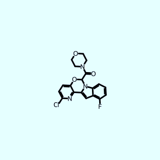 O=C(C1Oc2ccc(Cl)nc2-c2cc3c(F)cccc3n21)N1CCOCC1